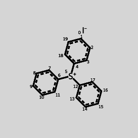 [I-].c1ccc([S+](c2ccccc2)c2ccccc2)cc1